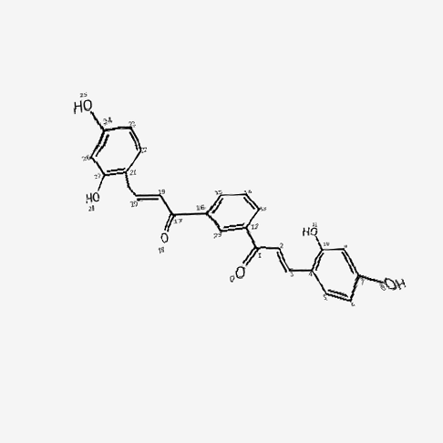 O=C(C=Cc1ccc(O)cc1O)c1cccc(C(=O)C=Cc2ccc(O)cc2O)c1